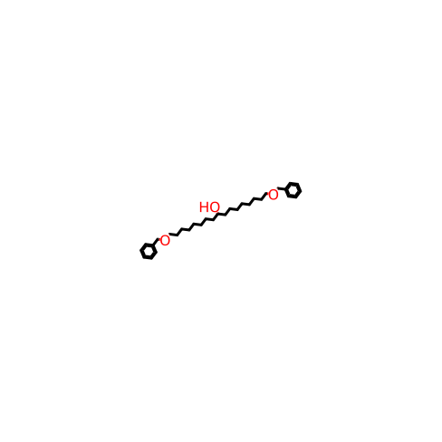 OC(CCCCCCCCOCc1ccccc1)CCCCCCCCOCc1ccccc1